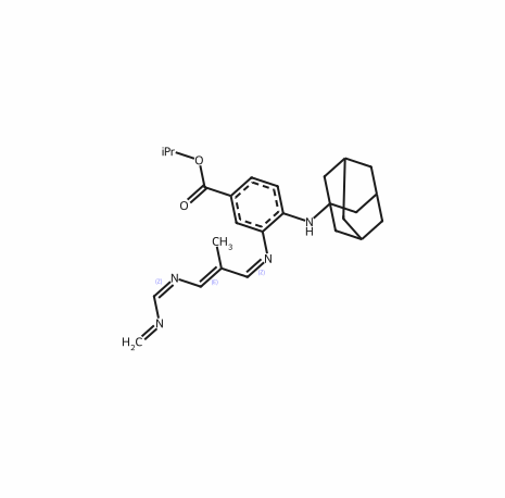 C=N\C=N/C=C(C)/C=N\c1cc(C(=O)OC(C)C)ccc1NC12CC3CC(CC(C3)C1)C2